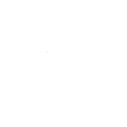 CCC(=O)Oc1cc([N+](=O)[O-])ccc1C